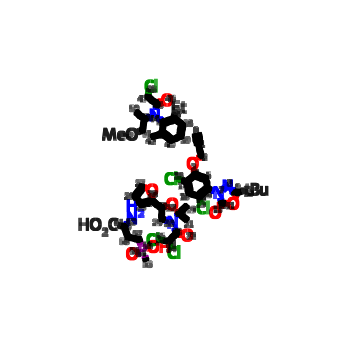 C#CCOc1cc(-n2nc(C(C)(C)C)oc2=O)c(Cl)cc1Cl.CC1(C)OC(c2ccco2)CN1C(=O)C(Cl)Cl.CCc1cccc(C)c1N(C(=O)CCl)C(C)COC.CP(=O)(O)CCC(N)C(=O)O